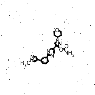 Cn1cc(-c2cccc(-c3ncc(-c4cn(C5CCOCC5)nc4OC(N)=O)cn3)c2)cn1